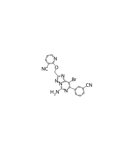 N#Cc1cccc(-c2nc(N)n3nc(COc4ncccc4C#N)nc3c2Br)c1